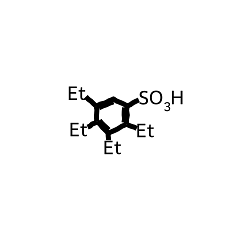 CCc1cc(S(=O)(=O)O)c(CC)c(CC)c1CC